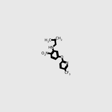 C=C(C)CNc1cc(Oc2ccc(C(F)(F)F)cn2)ccc1[N+](=O)[O-]